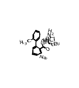 CC(C)(C)NN.Cc1ccccc1-c1ccccc1C(=O)Cl.Cl.[Na]